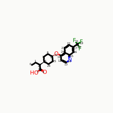 CCC(C(=O)O)[C@H]1CC[C@H](Oc2ccnc3cc(C(F)(F)F)ccc23)CC1